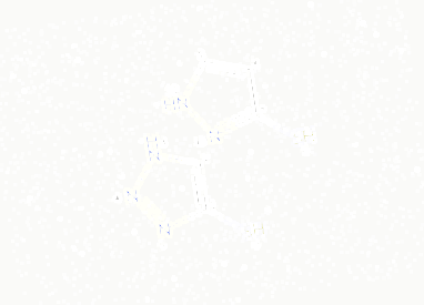 Sc1c[nH]nn1.Sc1cc[nH]n1